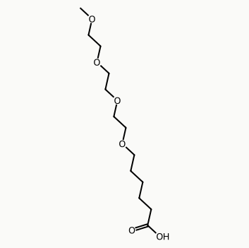 COCCOCCOCCOCCCCCC(=O)O